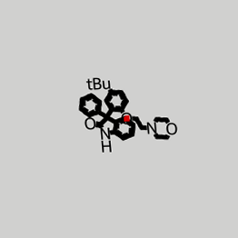 CC(C)(C)c1ccc(OCCN2CCOCC2)c(C2(c3ccccc3)C(=O)Nc3ccccc32)c1